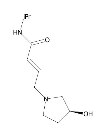 CC(C)NC(=O)/C=C/CN1CC[C@H](O)C1